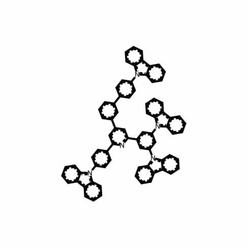 c1cc(-c2ccc(-n3c4ccccc4c4ccccc43)cc2)cc(-c2cc(-c3ccc(-n4c5ccccc5c5ccccc54)cc3)nc(-c3cc(-n4c5ccccc5c5ccccc54)cc(-n4c5ccccc5c5ccccc54)c3)c2)c1